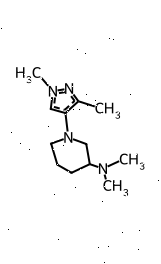 Cc1nn(C)cc1N1CCCC(N(C)C)C1